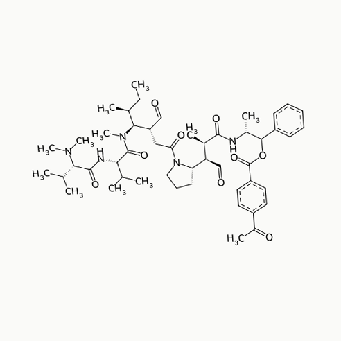 CC[C@H](C)[C@@H]([C@H](C=O)CC(=O)N1CCC[C@H]1[C@H](C=O)[C@@H](C)C(=O)N[C@H](C)C(OC(=O)c1ccc(C(C)=O)cc1)c1ccccc1)N(C)C(=O)[C@@H](NC(=O)[C@H](C(C)C)N(C)C)C(C)C